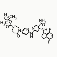 CC(C)(C)OC(=O)N1CCC(=O)N(c2ccc(Nc3cc(NC4CCc5c(F)ccc(F)c54)c(C(N)=O)cn3)nc2)CC1